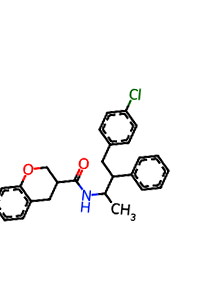 CC(NC(=O)C1COc2ccccc2C1)C(Cc1ccc(Cl)cc1)c1ccccc1